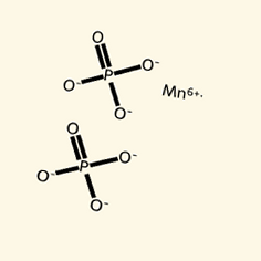 O=P([O-])([O-])[O-].O=P([O-])([O-])[O-].[Mn+6]